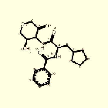 CC1COCC(=O)C1NC(=O)C(CC1CCCC1)NC(=O)c1ccccc1